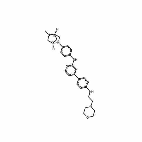 CN1C[C@@H]2C[C@H]1CN2c1ccc(Nc2nccc(-c3ccc(NCCN4CCOCC4)nc3)n2)cc1